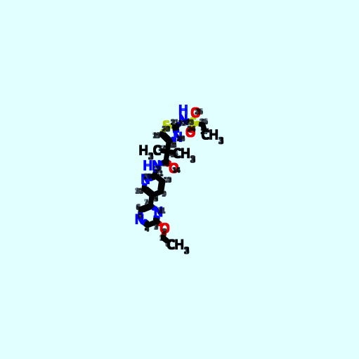 CCOc1cncc(-c2ccc(NC(=O)C(C)(C)c3csc(NS(=O)(=O)CC)n3)nc2)n1